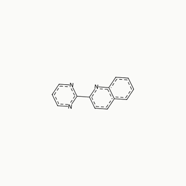 c1cnc(-c2ccc3ccccc3n2)nc1